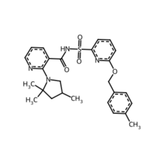 Cc1ccc(COc2cccc(S(=O)(=O)NC(=O)c3cccnc3N3CC(C)CC3(C)C)n2)cc1